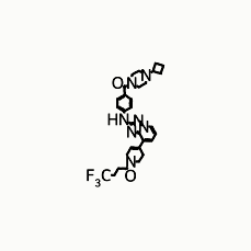 O=C(CCC(F)(F)F)N1CC=C(c2cccn3nc(Nc4ccc(C(=O)N5CCN(C6CCC6)CC5)cc4)nc23)CC1